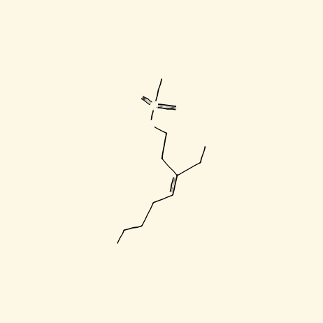 CCCCC=C(CC)CCOS(C)(=O)=O